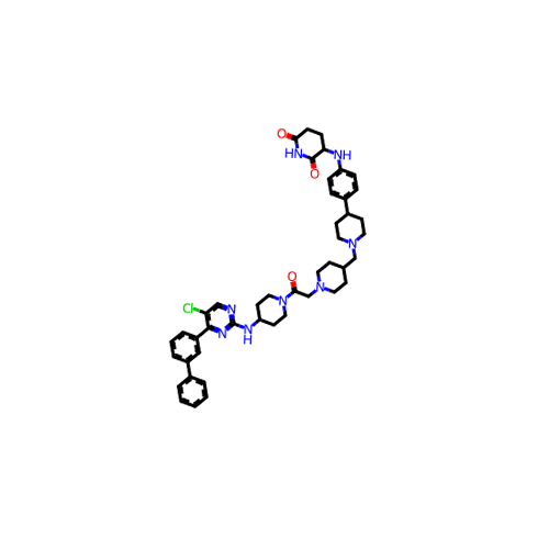 O=C1CCC(Nc2ccc(C3CCN(CC4CCN(CC(=O)N5CCC(Nc6ncc(Cl)c(-c7cccc(-c8ccccc8)c7)n6)CC5)CC4)CC3)cc2)C(=O)N1